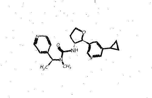 C[C@@H](c1ccncc1)N(C)C(=O)N[C@@H]1CCO[C@H]1c1cncc(C2CC2)c1